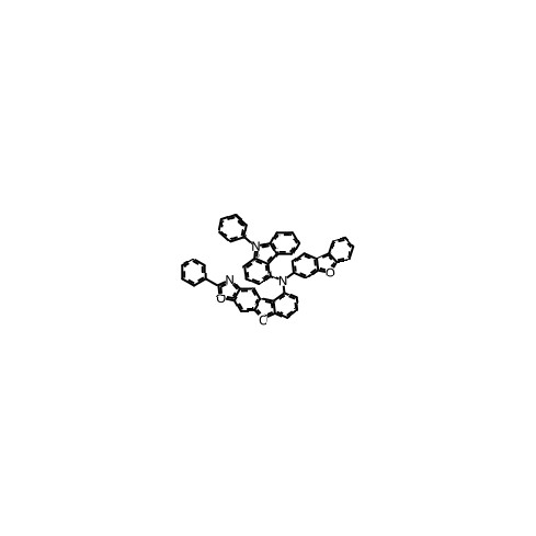 c1ccc(-c2nc3cc4c(cc3o2)oc2cccc(N(c3ccc5c(c3)oc3ccccc35)c3cccc5c3c3ccccc3n5-c3ccccc3)c24)cc1